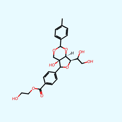 Cc1ccc(C2OC[C@@]3(O)C(c4ccc(C(=O)OCCO)cc4)O[C@H](C(O)CO)[C@@H]3O2)cc1